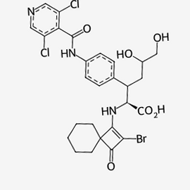 O=C(Nc1ccc(C(CC(O)CO)[C@H](NC2=C(Br)C(=O)C23CCCCC3)C(=O)O)cc1)c1c(Cl)cncc1Cl